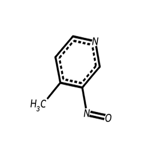 Cc1ccncc1N=O